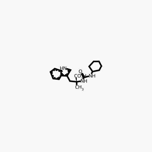 C[C@](Cc1c[nH]c2ccccc12)(NC(=O)NC1CCCCC1)C(=O)O